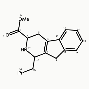 COC(=O)C1CC2=C(Cc3ccccc32)C(CC(C)C)N1